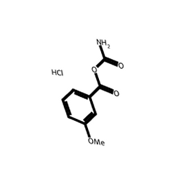 COc1cccc(C(=O)OC(N)=O)c1.Cl